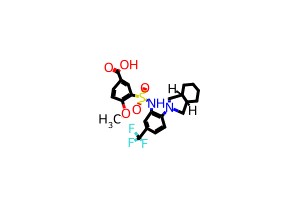 COc1ccc(C(=O)O)cc1S(=O)(=O)Nc1cc(C(F)(F)F)ccc1N1C[C@H]2CCCC[C@H]2C1